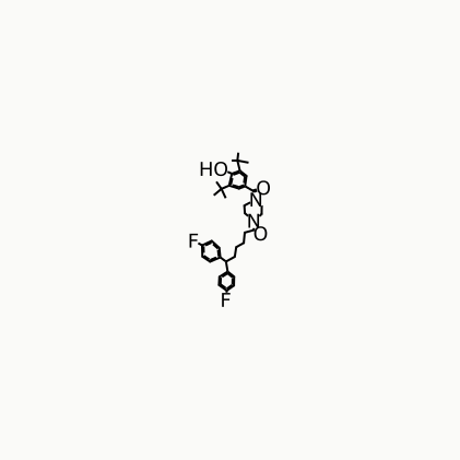 CC(C)(C)c1cc(C(=O)N2CCN(C(=O)CCCCC(c3ccc(F)cc3)c3ccc(F)cc3)CC2)cc(C(C)(C)C)c1O